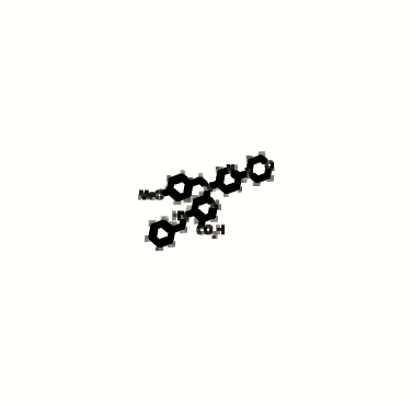 COc1ccc(CN(c2ccc(N3CCOCC3)nc2)c2cc(NCc3ccccc3)c(C(=O)O)cn2)cc1